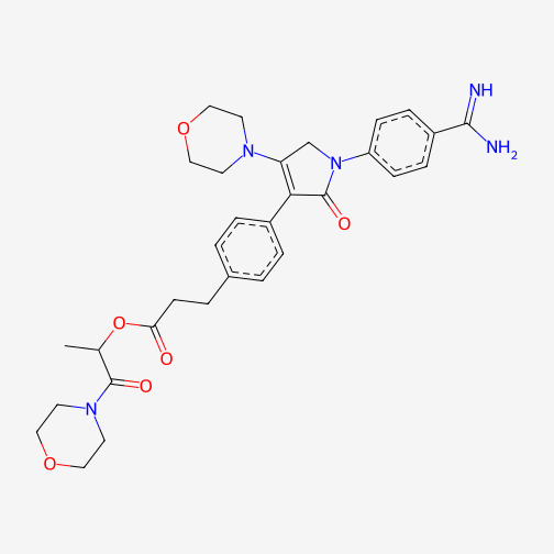 CC(OC(=O)CCc1ccc(C2=C(N3CCOCC3)CN(c3ccc(C(=N)N)cc3)C2=O)cc1)C(=O)N1CCOCC1